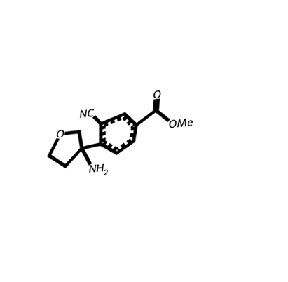 COC(=O)c1ccc(C2(N)CCOC2)c(C#N)c1